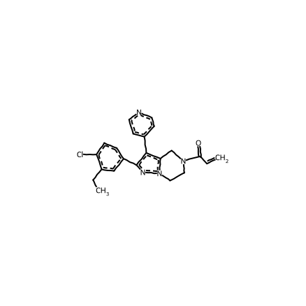 C=CC(=O)N1CCn2nc(-c3ccc(Cl)c(CC)c3)c(-c3ccncc3)c2C1